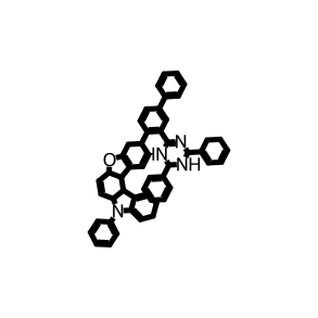 C1=CCCC(C2N=C(c3cc(-c4ccccc4)ccc3C3C=CC4=C(C3)OC3C=CC5C(C6=CCCC=C6N5c5ccccc5)C43)NC(c3ccccc3)N2)=C1